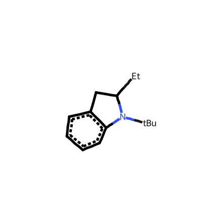 CCC1Cc2ccccc2N1C(C)(C)C